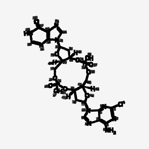 Nc1nc(Cl)nc2c1ncn2[C@H]1C[C@@H]2OP(=O)(O)OC[C@H]3O[C@@H](n4cnc5c(=O)[nH]cnc54)C[C@@H]3OP(=O)(O)OC[C@H]2O1